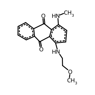 CNc1ccc(NCCOC)c2c1C(=O)c1ccccc1C2=O